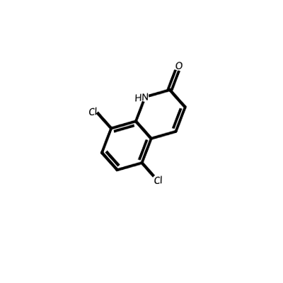 O=c1ccc2c(Cl)ccc(Cl)c2[nH]1